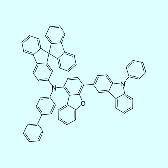 c1ccc(-c2ccc(N(c3ccc4c(c3)C3(c5ccccc5-c5ccccc53)c3ccccc3-4)c3ccc(-c4ccc5c(c4)c4ccccc4n5-c4ccccc4)c4oc5ccccc5c34)cc2)cc1